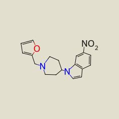 O=[N+]([O-])c1ccc2ccn(C3CCN(Cc4ccco4)CC3)c2c1